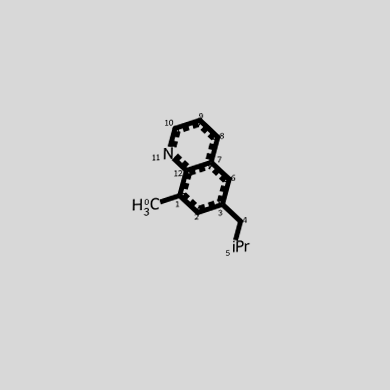 Cc1cc(CC(C)C)cc2cccnc12